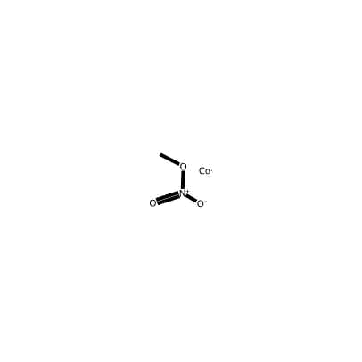 CO[N+](=O)[O-].[Co]